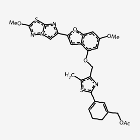 COc1cc(OCc2nc(C3=CCCC(COC(C)=O)=C3)sc2C)c2cc(-c3cn4nc(OC)sc4n3)oc2c1